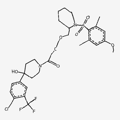 COc1cc(C)c(S(=O)(=O)N2CCCCC2COCCC(=O)N2CCC(O)(c3ccc(Cl)c(C(F)(F)F)c3)CC2)c(C)c1